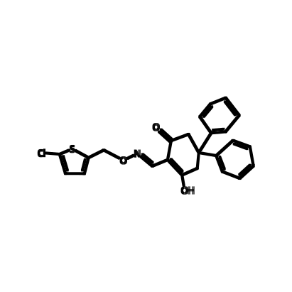 O=C1CC(c2ccccc2)(c2ccccc2)CC(O)=C1C=NOCc1ccc(Cl)s1